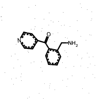 NCc1ccccc1C(=O)c1ccncc1